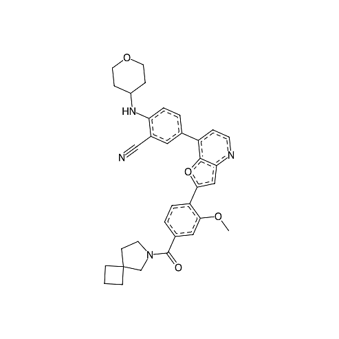 COc1cc(C(=O)N2CCC3(CCC3)C2)ccc1-c1cc2nccc(-c3ccc(NC4CCOCC4)c(C#N)c3)c2o1